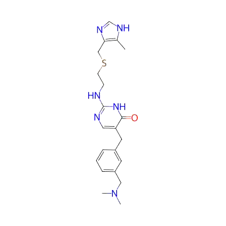 Cc1[nH]cnc1CSCCNc1ncc(Cc2cccc(CN(C)C)c2)c(=O)[nH]1